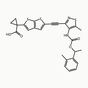 Cc1ccccc1C(C)OC(=O)Nc1c(C#Cc2cc3cc(C4(C(=O)O)CC4)sc3s2)nsc1C